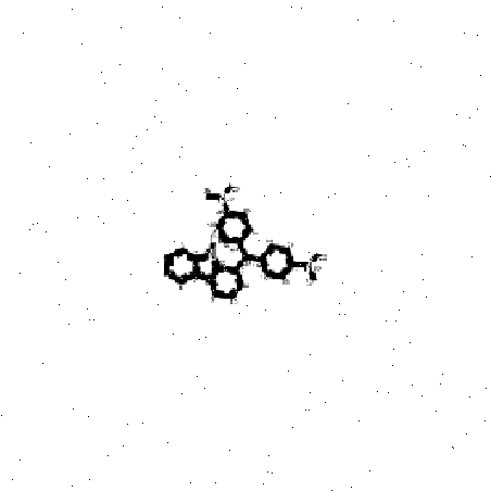 CCn1c2ccccc2c2cccc(C(c3ccc(N(C)C)cc3)c3ccc(N(C)C)cc3)c21